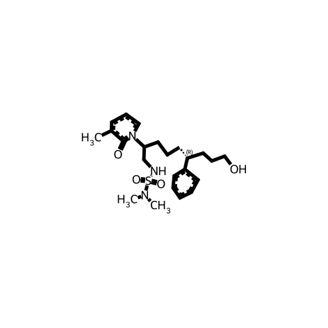 Cc1cccn(C(CCC[C@H](CCCO)c2ccccc2)CNS(=O)(=O)N(C)C)c1=O